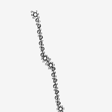 Cc1ccc(COCCOCCOCCOCCOCCOCCOc2ccc(C(C)(C)c3ccc(OCCOCCOCCOCCOCCOCCOCc4ccc(C)cc4)cc3)cc2)cc1